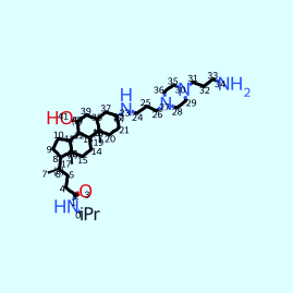 CC(C)NC(=O)CC[C@@H](C)C1CCC2C3C(CC[C@@]21C)[C@@]1(C)CC[C@H](NCCCN2CCN(CCCN)CC2)CC1C[C@@H]3O